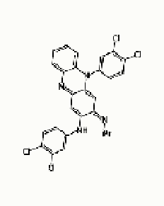 CC(C)N=c1cc2n(-c3ccc(Cl)c(Cl)c3)c3ccccc3nc-2cc1Nc1ccc(Cl)c(Cl)c1